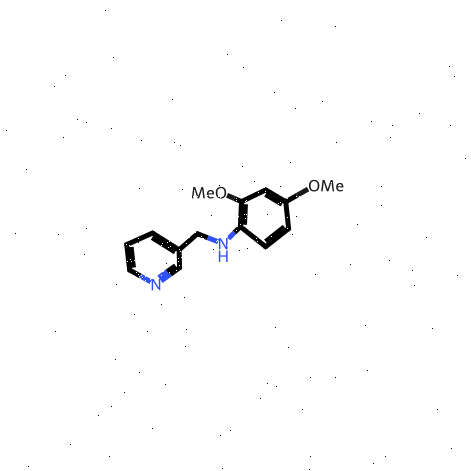 COc1ccc(NCc2cccnc2)c(OC)c1